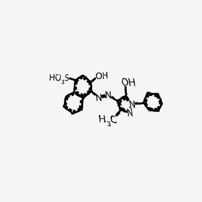 Cc1nn(-c2ccccc2)c(O)c1N=Nc1c(O)cc(S(=O)(=O)O)c2ccccc12